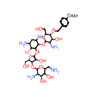 COc1ccc(COC2C(CO)OC(OC3C(N)CC(N)C(O)C3OC3OC(CO)C(OC4OC(CN)C(O)C(O)C4N)C3O)C(N)C2O)cc1